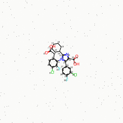 O=C(O)Cc1ccc(Cl)c(F)c1-n1c(C2CCCCC2)nc(C(=O)O)c1-c1ccc(F)c(Cl)c1